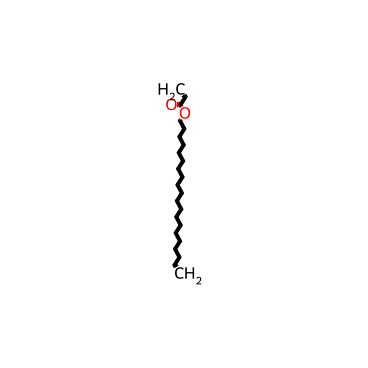 C=CCCCCCCCCCCCCCCCCCCOC(=O)C=C